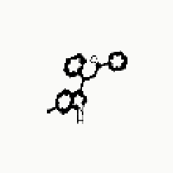 Cc1ccc2c(C(CC(=O)c3ccccc3)c3ccccc3)c[nH]c2c1